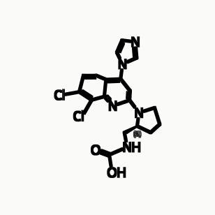 O=C(O)NC[C@@H]1CCCN1c1cc(-n2ccnc2)c2ccc(Cl)c(Cl)c2n1